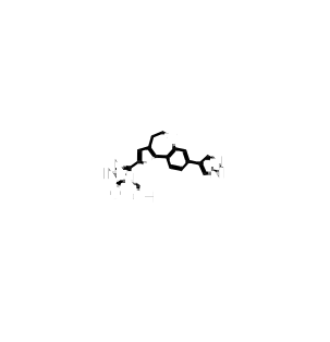 CCn1c(-c2cc3c(s2)-c2ccc(-c4cn[nH]c4)cc2OCC3)n[nH]c1=O